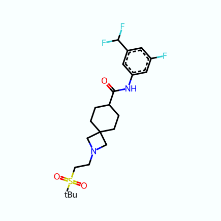 CC(C)(C)S(=O)(=O)CCN1CC2(CCC(C(=O)Nc3cc(F)cc(C(F)F)c3)CC2)C1